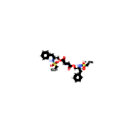 CC(C)(C)CS(=O)(=O)N[C@@H](COC(=O)/C=C/C(=O)OC[C@@H](Cc1ccccc1)NS(=O)(=O)CC(C)(C)C)Cc1ccccc1